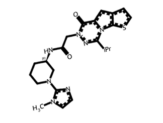 CC(C)c1nn(CC(=O)N[C@@H]2CCCN(c3nccn3C)C2)c(=O)c2cc3ccsc3n12